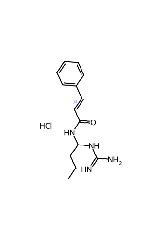 CCCC(NC(=N)N)NC(=O)/C=C/c1ccccc1.Cl